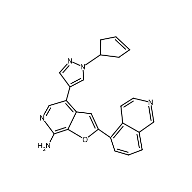 Nc1ncc(-c2cnn(C3CC=CC3)c2)c2cc(-c3cccc4cnccc34)oc12